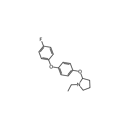 CCN1CCCC1Oc1ccc(Oc2ccc(F)cc2)cc1